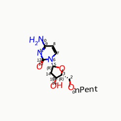 CCCCCOC[C@H]1O[C@@H](n2ccc(N)nc2=O)C[C@@H]1O